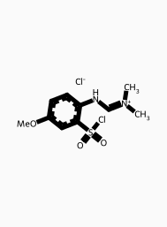 COc1ccc(NC=[N+](C)C)c(S(=O)(=O)Cl)c1.[Cl-]